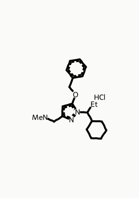 CCC(C1CCCCC1)n1nc(CNC)cc1OCc1ccccc1.Cl